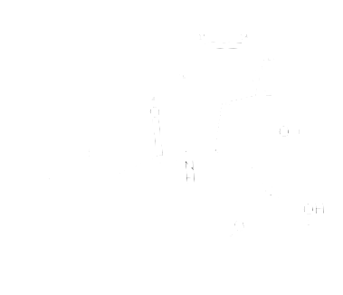 C/C=C/C(=O)Nc1c(C(=O)O)oc2ccccc12